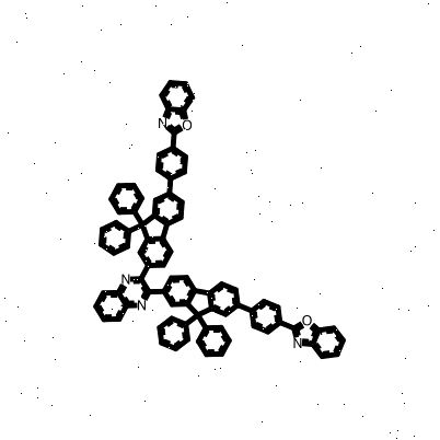 c1ccc(C2(c3ccccc3)c3cc(-c4ccc(-c5nc6ccccc6o5)cc4)ccc3-c3ccc(-c4nc5ccccc5nc4-c4ccc5c(c4)C(c4ccccc4)(c4ccccc4)c4cc(-c6ccc(-c7nc8ccccc8o7)cc6)ccc4-5)cc32)cc1